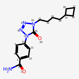 NC(=O)c1ccc(-n2nnn(CCCCC3CCC3)c2=O)cc1